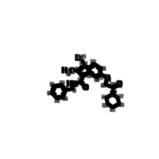 CCn1c(C)c(C(=O)NCc2ccccc2)c2cc(OCC(=O)N3CCCCC3)ccc21